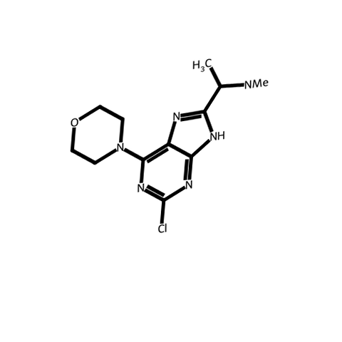 CNC(C)c1nc2c(N3CCOCC3)nc(Cl)nc2[nH]1